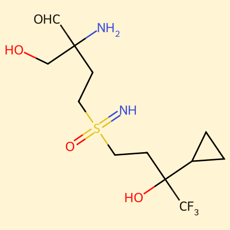 N=S(=O)(CCC(N)(C=O)CO)CCC(O)(C1CC1)C(F)(F)F